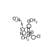 COc1cccc(-c2c(C#CCN3CCOCC3)sc3nc(C)cc(NS(=O)(=O)c4cccc(Cl)c4)c23)c1